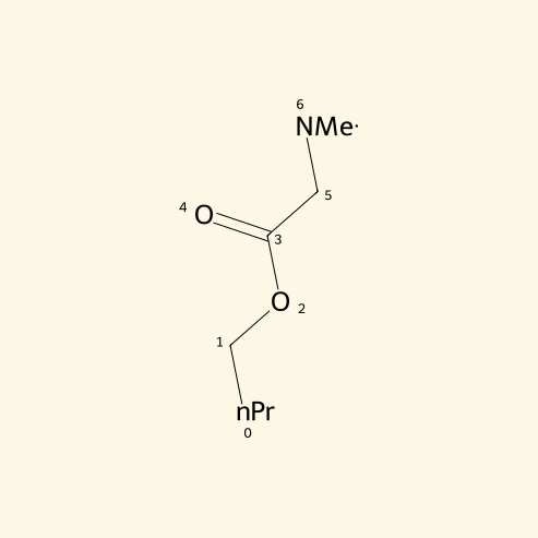 CCCCOC(=O)C[N]C